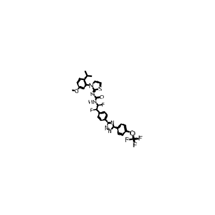 COc1ccc(C(C)C)c(N2CCS/C2=N\C(=O)NC(F)C(F)c2ccc(C3=NC(c4ccc(OC(F)(F)F)cc4)N=N3)cc2)c1